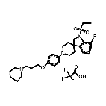 CCS(=O)(=O)N1CC2(CCN(c3ccc(OCCCN4CCCCC4)cc3)CC2)c2cccc(F)c21.O=C(O)C(F)(F)F